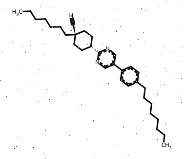 CCCCCCCCc1ccc(-c2cnc([C@H]3CC[C@@](C#N)(CCCCCCC)CC3)nc2)cc1